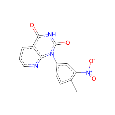 Cc1ccc(-n2c(=O)[nH]c(=O)c3cccnc32)cc1[N+](=O)[O-]